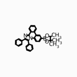 CC1OB(c2ccc3c(c2)c2ccccc2c2nc(-c4ccccc4)c(-c4ccccc4)n32)OC1(C)C